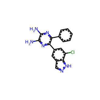 Nc1nc(-c2ccccc2)c(-c2cc(Cl)c3[nH]ncc3c2)nc1N